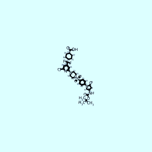 CC(C)(C)OC(=O)N[C@@H]1CC(=O)N(c2ccc(S(=O)(=O)N3CCN(c4cc(C(F)(F)[C@H]5CC[C@H](C(=O)O)CC5)cc(Cl)n4)CC3)cc2)C1